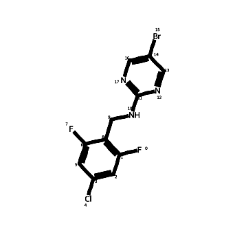 Fc1cc(Cl)cc(F)c1CNc1ncc(Br)cn1